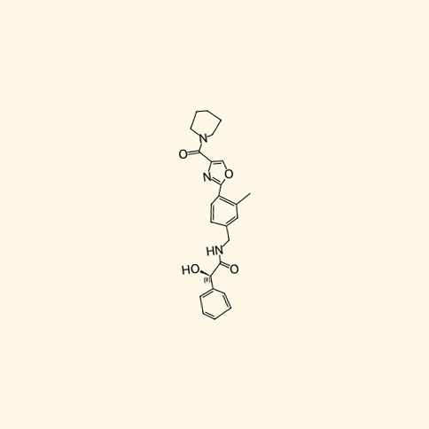 Cc1cc(CNC(=O)[C@H](O)c2ccccc2)ccc1-c1nc(C(=O)N2CCCCC2)co1